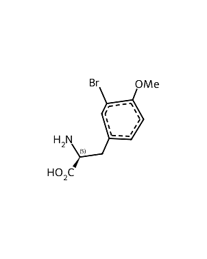 COc1ccc(C[C@H](N)C(=O)O)cc1Br